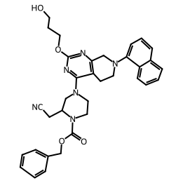 N#CCC1CN(c2nc(OCCCO)nc3c2CCN(c2cccc4ccccc24)C3)CCN1C(=O)OCc1ccccc1